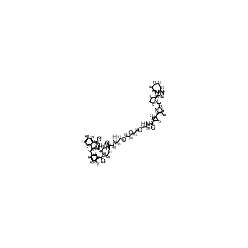 Cc1sc(CN2CCCC2c2nnc3n2CCCCC3)nc1C12CC(C(=O)NCCOCCOCCOCCNCC(=O)N3CCN(C(=O)c4cc(Cc5n[nH]c(=O)c6ccccc56)ccc4F)CC3)(C1)C2